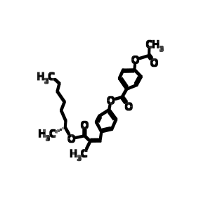 CCCCCC[C@@H](C)OC(=O)C(C)=Cc1ccc(OC(=O)c2ccc(OC(C)=O)cc2)cc1